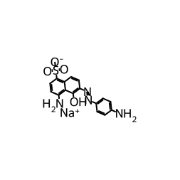 Nc1ccc(N=Nc2ccc3c(S(=O)(=O)[O-])ccc(N)c3c2O)cc1.[Na+]